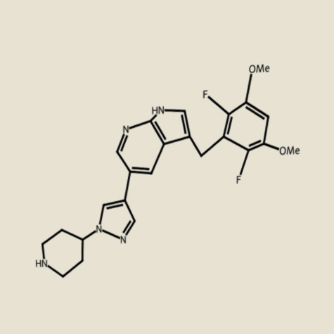 COc1cc(OC)c(F)c(Cc2c[nH]c3ncc(-c4cnn(C5CCNCC5)c4)cc23)c1F